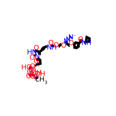 CP(O)OP(=O)(O)OP(=O)(O)OC[C@@H]1CC[C@H](n2cc(C#CCNC(=O)COCCOC(COc3cccc(C(=O)NC4CCC4)c3)N=[N+]=[N-])c(=O)[nH]c2=O)O1